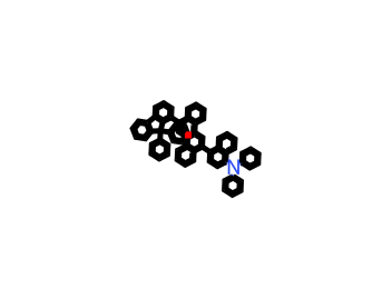 c1ccc(N(c2ccccc2)c2ccc(-c3cc4c5ccccc5c(-c5cccc6c5C(c5ccccc5)(c5ccccc5)c5ccccc5-6)cc4c4ccccc34)c3ccccc23)cc1